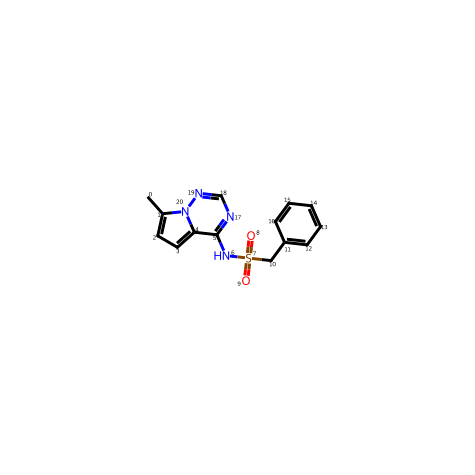 Cc1ccc2c(NS(=O)(=O)Cc3ccccc3)ncnn12